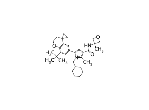 Cc1c(C(=O)NC2(C)COC2)cc(-c2cc(C(C)(C)C)c3c(c2)C2(CCO3)CC2)n1CC1CCCCC1